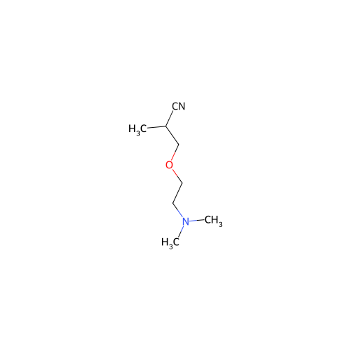 CC(C#N)COCCN(C)C